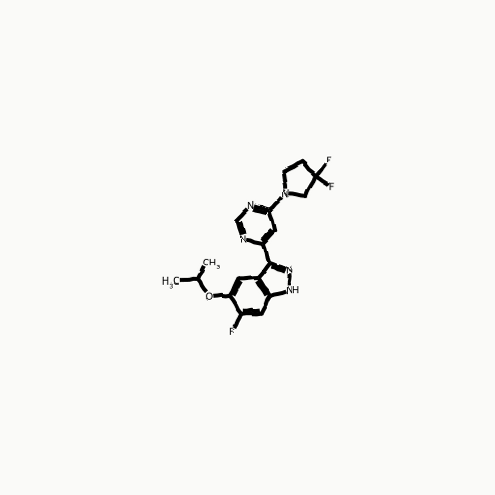 CC(C)Oc1cc2c(-c3cc(N4CCC(F)(F)C4)ncn3)n[nH]c2cc1F